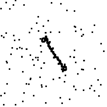 CC(=O)/C=C/C(C)=C/C=C/C(C)=C/C=C/C=C(C)/C=C/C=C(C)/C=C/C1=C(C)CCCC1(C)C